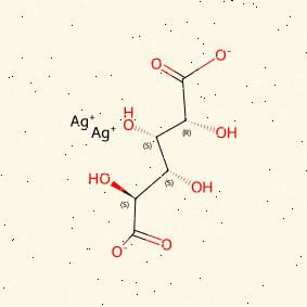 O=C([O-])[C@@H](O)[C@@H](O)[C@H](O)[C@@H](O)C(=O)[O-].[Ag+].[Ag+]